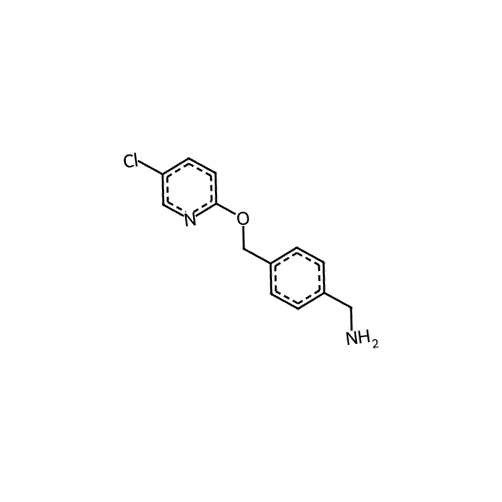 NCc1ccc(COc2ccc(Cl)cn2)cc1